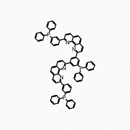 c1ccc(P(c2ccccc2)c2cccc(-c3ccc4ccc5ccc(-c6cc(-c7ccc8ccc9ccc(-c%10cccc(P(c%11ccccc%11)c%11ccccc%11)c%10)nc9c8n7)cc(P(c7ccccc7)c7ccccc7)c6)nc5c4n3)c2)cc1